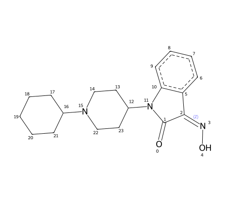 O=C1/C(=N\O)c2ccccc2N1C1CCN(C2CCCCC2)CC1